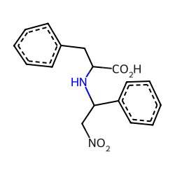 O=C(O)C(Cc1ccccc1)NC(C[N+](=O)[O-])c1ccccc1